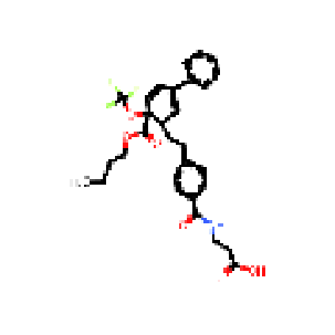 CCCCOC(=O)C1(OC(F)(F)F)C=CC(c2ccccc2)=CC1CCc1ccc(C(=O)NCCC(=O)O)cc1